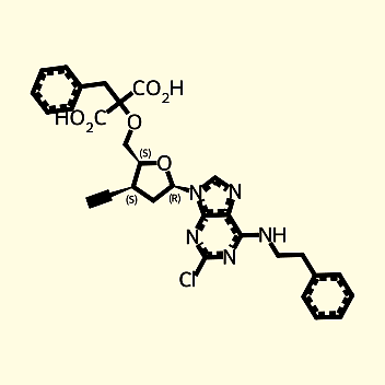 C#C[C@@H]1C[C@H](n2cnc3c(NCCc4ccccc4)nc(Cl)nc32)O[C@@H]1COC(Cc1ccccc1)(C(=O)O)C(=O)O